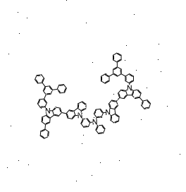 c1ccc(-c2cc(-c3ccccc3)cc(-c3cccc(-n4c5ccc(-c6ccccc6)cc5c5cc(-c6ccc7c(c6)c6ccccc6n7-c6cccc(N(c7ccccc7)c7cccc(-n8c9ccccc9c9cc(-c%10ccc%11c(c%10)c%10cc(-c%12ccccc%12)ccc%10n%11-c%10cccc(-c%11cc(-c%12ccccc%12)cc(-c%12ccccc%12)c%11)c%10)ccc98)c7)c6)ccc54)c3)c2)cc1